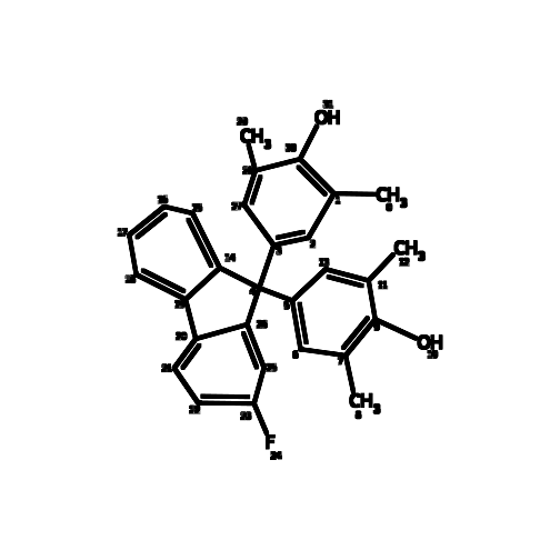 Cc1cc(C2(c3cc(C)c(O)c(C)c3)c3ccccc3-c3ccc(F)cc32)cc(C)c1O